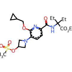 CCOC(=O)C(CC)(CC)NC(=O)c1ccc(N2CC(OS(C)(=O)=O)C2)c(OCC2CC2)n1